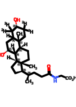 [2H]C1([2H])C[C@@]2(C)[C@H](C[C@@H](O)[C@@H]3[C@@H]2CC[C@]2(C)[C@@H]([C@H](C)CCC(=O)NCC(=O)O)CC[C@@H]32)C([2H])([2H])[C@@H]1O